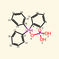 O=P(O)(O)O[PH](c1ccccc1)(c1ccccc1)c1ccccc1